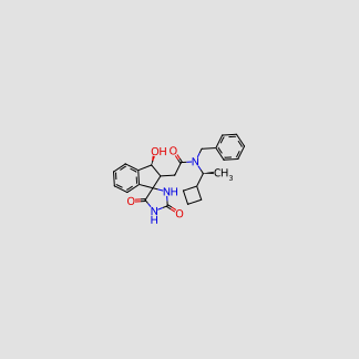 C[C@@H](C1CCC1)N(Cc1ccccc1)C(=O)CC1[C@H](O)c2ccccc2C12NC(=O)NC2=O